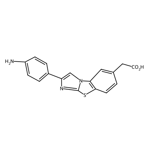 Nc1ccc(-c2cn3c(n2)sc2ccc(CC(=O)O)cc23)cc1